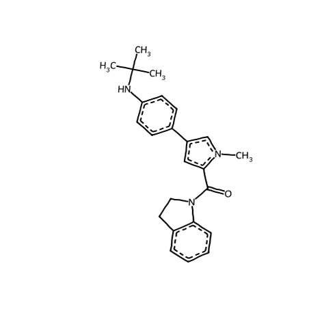 Cn1cc(-c2ccc(NC(C)(C)C)cc2)cc1C(=O)N1CCc2ccccc21